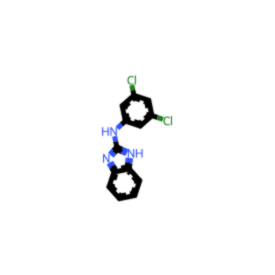 Clc1cc(Cl)cc(Nc2nc3ccccc3[nH]2)c1